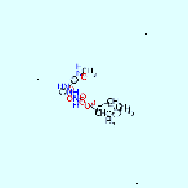 CC(=O)Nc1ccc(C(=O)Nc2ccccc2NC(=O)CNC(=O)OCOC(=O)C=C(C)C=CC=C(C)C=CC2=C(C)CCCC2(C)C)cc1